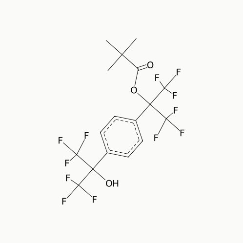 CC(C)(C)C(=O)OC(c1ccc(C(O)(C(F)(F)F)C(F)(F)F)cc1)(C(F)(F)F)C(F)(F)F